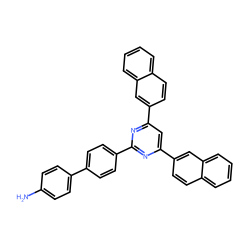 Nc1ccc(-c2ccc(-c3nc(-c4ccc5ccccc5c4)cc(-c4ccc5ccccc5c4)n3)cc2)cc1